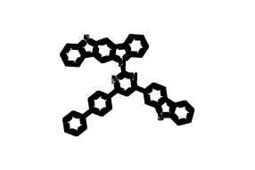 c1ccc(-c2ccc(-c3cc(-c4ccc5c(c4)sc4ccccc45)nc(-n4c5ccccc5c5cc6sc7ccccc7c6cc54)n3)cc2)cc1